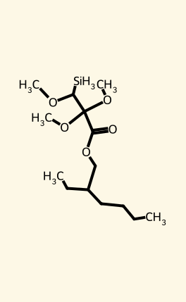 CCCCC(CC)COC(=O)C(OC)(OC)C([SiH3])OC